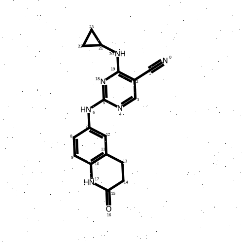 N#Cc1cnc(Nc2ccc3c(c2)CCC(=O)N3)nc1NC1CC1